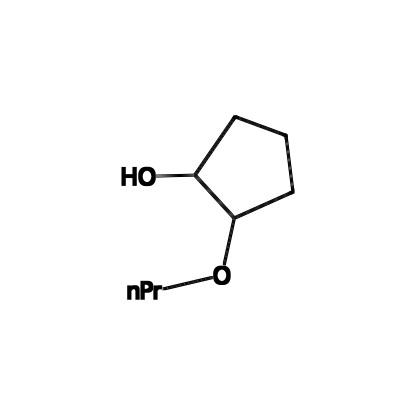 CCCOC1CCCC1O